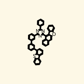 c1ccc(-c2nc(-c3cccc(-c4cccc(-c5cccc6c5sc5ccccc56)c4)c3)nc(-c3c4ccccc4cc4oc5ccccc5c34)n2)cc1